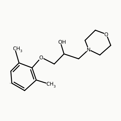 Cc1c[c]cc(C)c1OCC(O)CN1CCOCC1